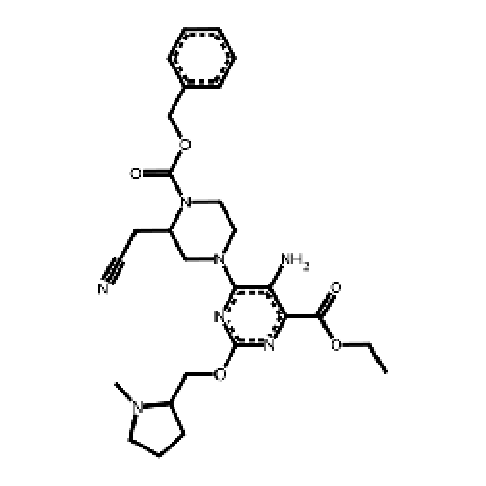 CCOC(=O)c1nc(OCC2CCCN2C)nc(N2CCN(C(=O)OCc3ccccc3)C(CC#N)C2)c1N